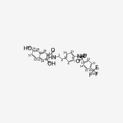 O=C(NCCc1ccc(NS(=O)(=O)c2ccc(C(F)(F)F)cc2)cc1)c1cc2cc(O)ccc2cc1O